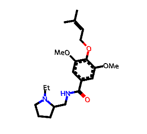 CCN1CCCC1CNC(=O)c1cc(OC)c(OCC=C(C)C)c(OC)c1